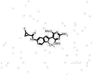 COc1nc(N)nc(OC)c1-c1cc2cc(NC(=O)C3CC3F)ncc2n1C